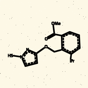 COC(=O)c1cccc(C(C)C)c1COc1ccn(S)n1